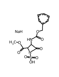 COC(=O)C1C(NC(=O)OCc2ccccc2)C(=O)N1S(=O)(=O)O.[NaH]